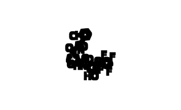 O=C(O)CC(NC(=O)C1COCCN(C(=O)c2cc(-c3ccccc3Cl)on2)C1)C(=O)COc1c(F)c(F)cc(F)c1F